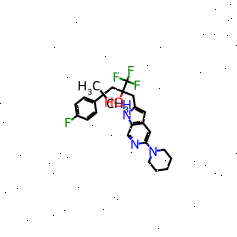 CC(C)(CC(O)(Cc1cc2cc(N3CCCCC3)ncc2[nH]1)C(F)(F)F)c1ccc(F)cc1